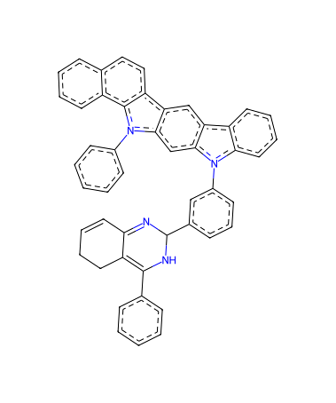 C1=CC2=NC(c3cccc(-n4c5ccccc5c5cc6c7ccc8ccccc8c7n(-c7ccccc7)c6cc54)c3)NC(c3ccccc3)=C2CC1